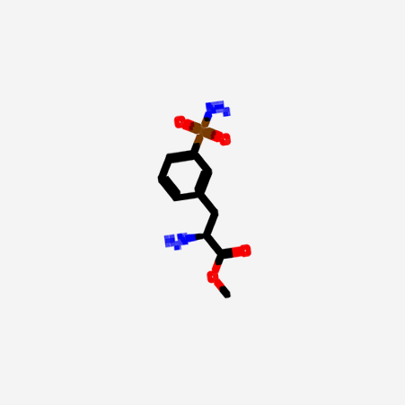 COC(=O)[C@@H](N)Cc1cccc(S(N)(=O)=O)c1